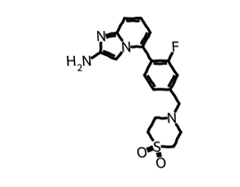 Nc1cn2c(-c3ccc(CN4CCS(=O)(=O)CC4)cc3F)cccc2n1